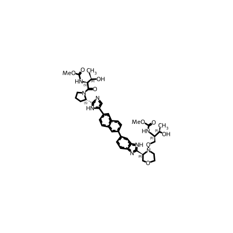 COC(=O)N[C@H](C(=O)N1CCC[C@H]1c1ncc(-c2ccc3cc(-c4ccc5nc([C@@H]6COCCN6OC[C@@H](NC(=O)OC)[C@@H](C)O)[nH]c5c4)ccc3c2)[nH]1)[C@@H](C)O